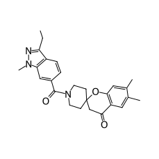 CCc1nn(C)c2cc(C(=O)N3CCC4(CC3)CC(=O)c3cc(C)c(C)cc3O4)ccc12